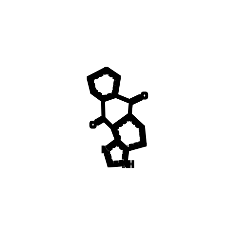 O=C1c2ccccc2C(=O)c2c1ccc1[nH]cnc21